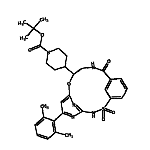 Cc1cccc(C)c1-c1cc2nc(n1)NS(=O)(=O)c1cccc(c1)C(=O)NCC(C1CCN(C(=O)OC(C)(C)C)CC1)O2